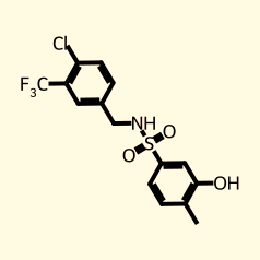 Cc1ccc(S(=O)(=O)NCc2ccc(Cl)c(C(F)(F)F)c2)cc1O